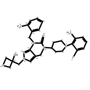 Cc1cccc(F)c1N1CCC(N2Cc3cn(CC4(O)COC4)nc3N(Cc3ccccc3C(F)(F)F)C2=O)CC1